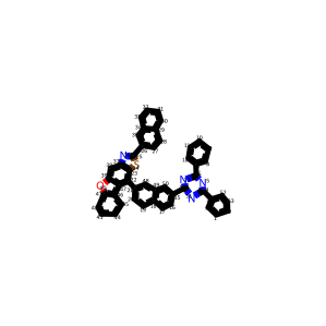 c1ccc(-c2nc(-c3ccccc3)nc(-c3ccc4ccc(-c5c6sc(-c7ccc8ccccc8c7)nc6cc6oc7ccccc7c56)cc4c3)n2)cc1